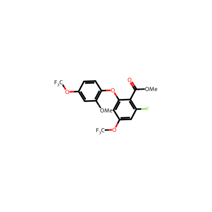 COC(=O)c1c(F)cc(OC(F)(F)F)cc1Oc1ccc(OC(F)(F)F)cc1OC